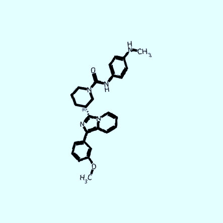 CNc1ccc(NC(=O)N2CCC[C@@H](c3nc(-c4cccc(OC)c4)c4ccccn34)C2)cc1